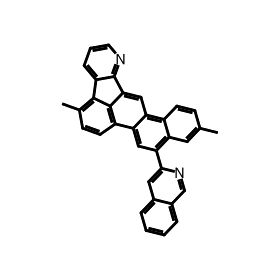 Cc1ccc2c(c1)c(-c1cc3ccccc3cn1)cc1c3ccc(C)c4c3c(cc21)-c1ncccc1-4